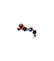 CC(C)(C)OC(=O)C1(S(=O)(=O)c2ccc3nc(N4CCC(Oc5ccc(OC(F)(F)F)cc5)CC4)sc3c2)CCOCC1